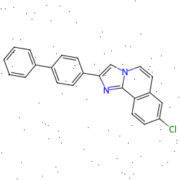 Clc1ccc2c(ccn3cc(-c4ccc(-c5ccccc5)cc4)nc23)c1